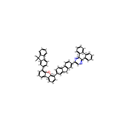 CC1(C)c2ccccc2-c2ccc(-c3cccc4c3oc3c(-c5ccc6c(c5)Cc5cc(-c7cnc8c9ccccc9c9ccccc9c8n7)ccc5-6)cccc34)cc21